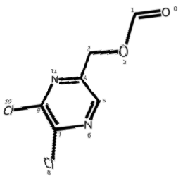 O=COCc1cnc(Cl)c(Cl)n1